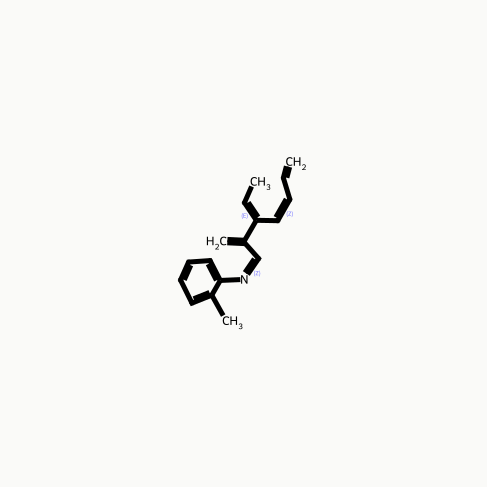 C=C/C=C\C(=C/C)C(=C)/C=N\c1ccccc1C